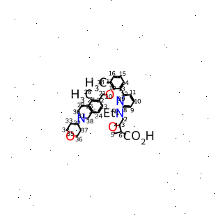 CCN(CC1OCC1C(=O)O)c1cccc(-c2cccc(C)c2OCc2ccc3c(c2C)CCN(C2CCOCC2)C3)n1